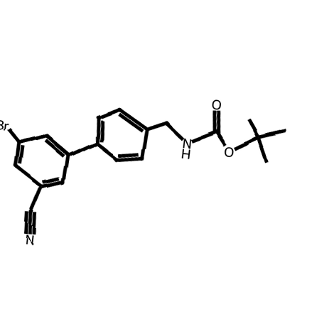 CC(C)(C)OC(=O)NCc1ccc(-c2cc(Br)cc(C#N)c2)cc1